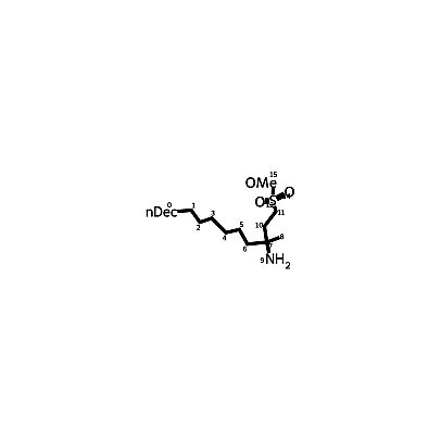 CCCCCCCCCCCCCCCCC(C)(N)CCS(=O)(=O)OC